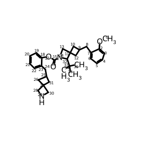 COc1ccccc1CC1CC2(C1)CN(C(=O)Oc1ccccc1CC1CC3(CNC3)C1)C2C(C)(C)C